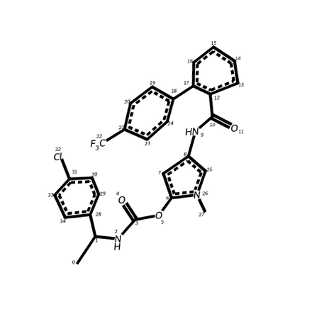 CC(NC(=O)Oc1cc(NC(=O)c2ccccc2-c2ccc(C(F)(F)F)cc2)cn1C)c1ccc(Cl)cc1